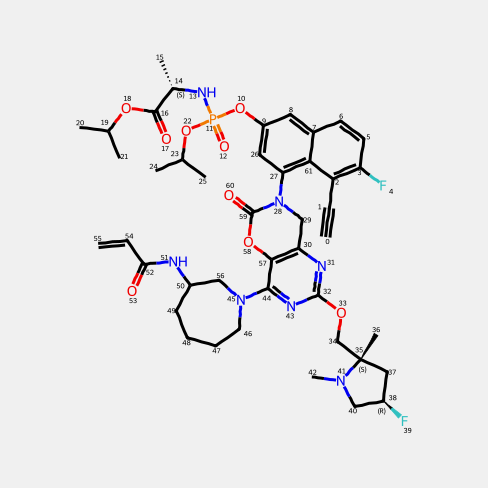 C#Cc1c(F)ccc2cc(OP(=O)(N[C@@H](C)C(=O)OC(C)C)OC(C)C)cc(N3Cc4nc(OC[C@]5(C)C[C@@H](F)CN5C)nc(N5CCCCC(NC(=O)C=C)C5)c4OC3=O)c12